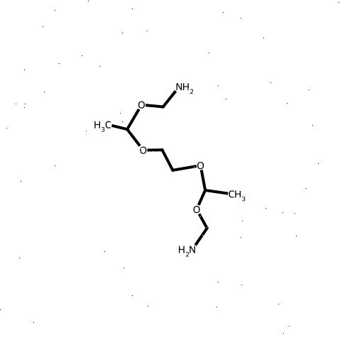 CC(OCN)OCCOC(C)OCN